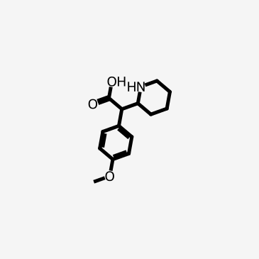 COc1ccc(C(C(=O)O)C2CCCCN2)cc1